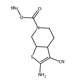 CC(C)(C)OC(=O)N1CCC2C(C#N)=C(N)SC2C1